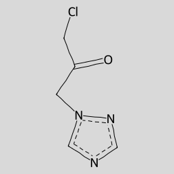 O=C(CCl)Cn1cncn1